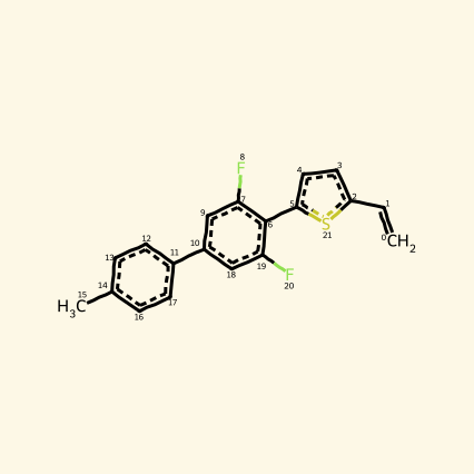 C=Cc1ccc(-c2c(F)cc(-c3ccc(C)cc3)cc2F)s1